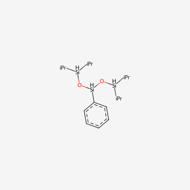 CC(C)[SiH](O[SiH](O[SiH](C(C)C)C(C)C)c1ccccc1)C(C)C